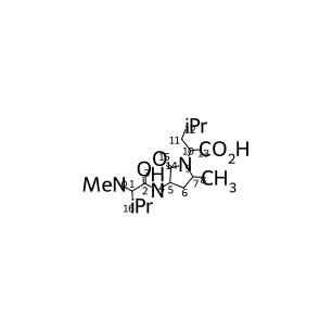 CNC(C(=O)NC1CC(C)N(C(CC(C)C)C(=O)O)C1=O)C(C)C